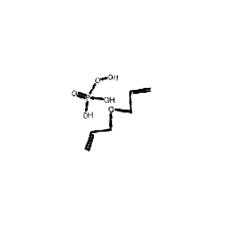 C=CCOCC=C.O=P(O)(O)OO